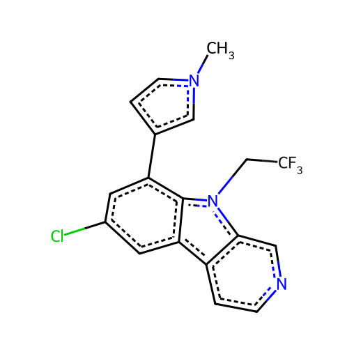 Cn1ccc(-c2cc(Cl)cc3c4ccncc4n(CC(F)(F)F)c23)c1